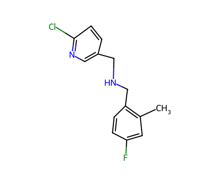 Cc1cc(F)ccc1CNCc1ccc(Cl)nc1